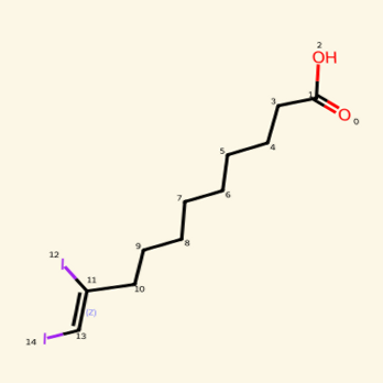 O=C(O)CCCCCCCC/C(I)=C/I